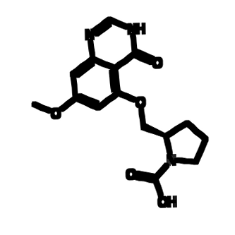 COc1cc(OC[C@H]2CCCN2C(=O)O)c2c(=O)[nH]cnc2c1